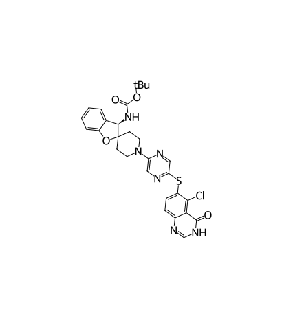 CC(C)(C)OC(=O)N[C@@H]1c2ccccc2OC12CCN(c1cnc(Sc3ccc4nc[nH]c(=O)c4c3Cl)cn1)CC2